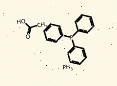 CC(=O)O.P.c1ccc(P(c2ccccc2)c2ccccc2)cc1